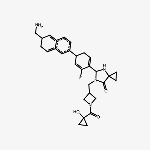 NCC1C=c2ccc(C3C=C(F)C(C4NC5(CC5)C(=O)N4CC4CN(C(=O)C5(O)CC5)C4)=CC3)cc2=CC1